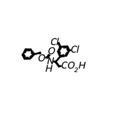 O=C(O)CC(NC(=O)OCc1ccccc1)c1cc(Cl)cc(Cl)c1